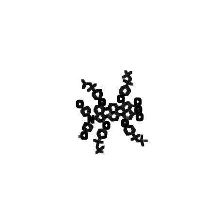 C=C(C)CC(C)(C)c1ccc(Oc2ccc3c(N(c4ccc(OC)cc4)c4ccc(OC)cc4)cc(Oc4ccc(C(C)(C)CC(C)(C)C)cc4)c4c5ccc6c7c(Oc8ccc(C(C)(C)CC(C)(C)C)cc8)cc8c9c(cc(Oc%10ccc(C(C)(C)CC(C)(C)C)cc%10)c(c%10ccc(c2c34)c5c%106)c97)C(=O)OC8=O)cc1